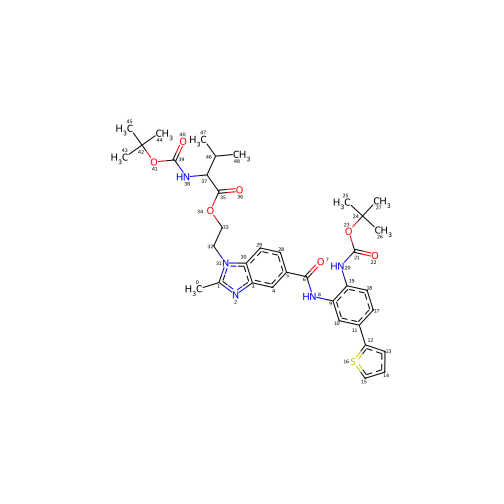 Cc1nc2cc(C(=O)Nc3cc(-c4cccs4)ccc3NC(=O)OC(C)(C)C)ccc2n1CCOC(=O)C(NC(=O)OC(C)(C)C)C(C)C